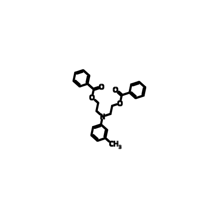 Cc1cccc(N(CCOC(=O)c2ccccc2)CCOC(=O)c2ccccc2)c1